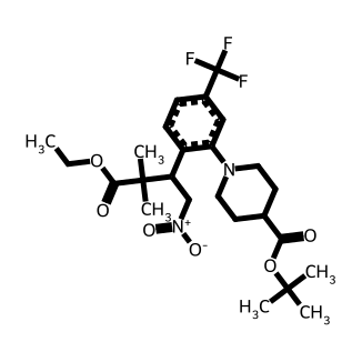 CCOC(=O)C(C)(C)C(C[N+](=O)[O-])c1ccc(C(F)(F)F)cc1N1CCC(C(=O)OC(C)(C)C)CC1